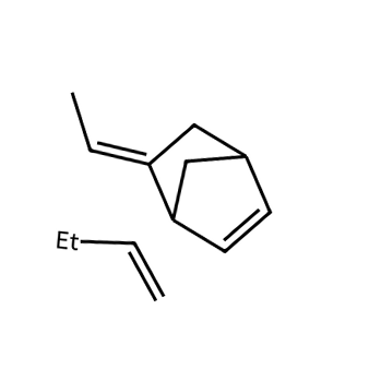 C=CCC.CC=C1CC2C=CC1C2